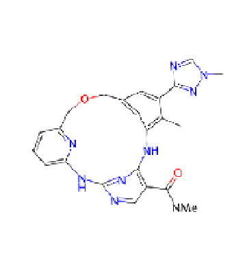 CNC(=O)c1cnc2nc1Nc1cc(cc(-c3ncn(C)n3)c1C)COCc1cccc(n1)N2